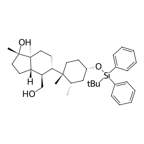 C[C@H]1C[C@@H](O[Si](c2ccccc2)(c2ccccc2)C(C)(C)C)CC[C@@]1(C)[C@H]1CC[C@@]2(C)[C@@H](CC[C@]2(C)O)[C@@H]1CO